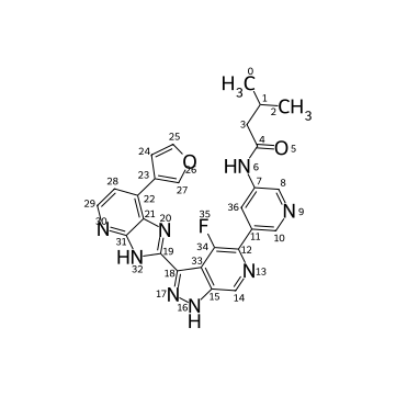 CC(C)CC(=O)Nc1cncc(-c2ncc3[nH]nc(-c4nc5c(-c6ccoc6)ccnc5[nH]4)c3c2F)c1